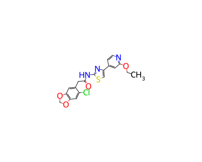 CCOc1cc(-c2csc(NC(=O)Cc3cc4c(cc3Cl)OCO4)n2)ccn1